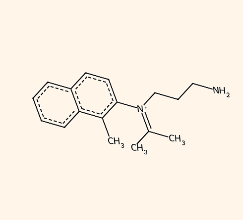 CC(C)=[N+](CCCN)c1ccc2ccccc2c1C